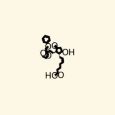 O=C(O)CCC/C=C\C[C@H]1[C@@H](O)CC(=O)[C@@H]1CCC1(COc2ccccc2)OCCO1